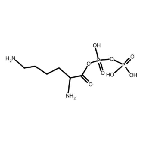 NCCCCC(N)C(=O)OP(=O)(O)OP(=O)(O)O